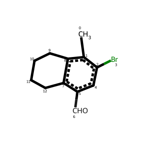 Cc1c(Br)cc(C=O)c2c1CCCC2